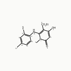 CCOC(=O)c1c(O)cc(=O)n(C)c1Nc1ccc(I)cc1F